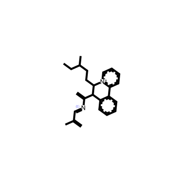 C=C(C)/C=N/C(=C)C1c2ccccc2-c2cccc[n+]2C1CCC(C)CC